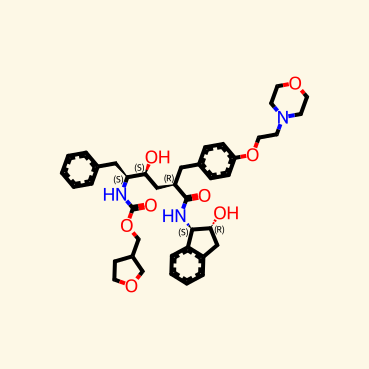 O=C(N[C@@H](Cc1ccccc1)[C@@H](O)C[C@@H](Cc1ccc(OCCN2CCOCC2)cc1)C(=O)N[C@H]1c2ccccc2C[C@H]1O)OCC1CCOC1